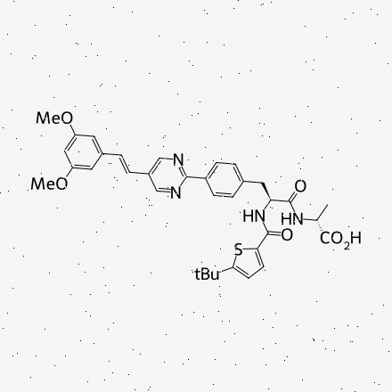 COc1cc(/C=C/c2cnc(-c3ccc(C[C@H](NC(=O)c4ccc(C(C)(C)C)s4)C(=O)N[C@H](C)C(=O)O)cc3)nc2)cc(OC)c1